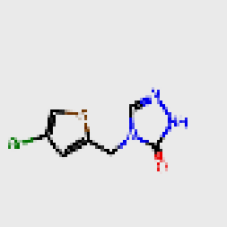 O=c1[nH]ncn1Cc1cc(Br)cs1